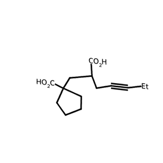 CCC#CCC(CC1(C(=O)O)CCCC1)C(=O)O